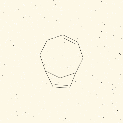 C1=CCC2C=CC(CC1)C2